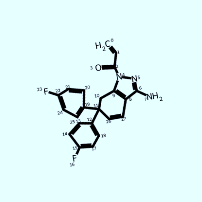 C=CC(=O)n1nc(N)c2c1CC(c1ccc(F)cc1)(c1ccc(F)cc1)C=C2